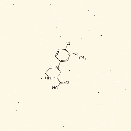 COc1cc(N2CCNC(C(=O)O)C2)ccc1Cl